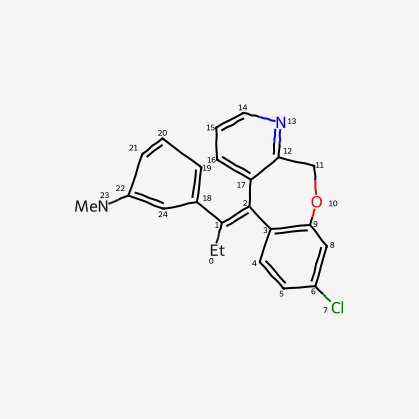 CC/C(=C1\c2ccc(Cl)cc2OCc2ncccc21)c1cccc(NC)c1